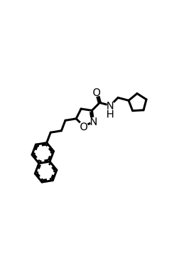 O=C(NCC1CCCC1)C1=NOC(CCCc2ccc3ccccc3c2)C1